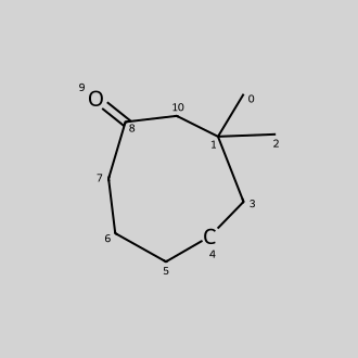 CC1(C)CCCCCC(=O)C1